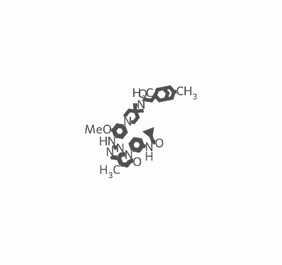 COc1cc(N2CCC3(CC2)CN(C(=O)CC2(C)CC4CC(C)CC(C4)C2)C3)ccc1Nc1ncc2c(C)cc(=O)n(-c3cccc(NC(=O)C4CC4)c3)c2n1